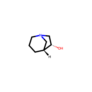 O[C@H]1CN2CCC[C@@H]1C2